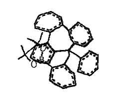 CC1(C)OB(c2ccccc2C2(c3ccccc3)c3ccccc3-c3ccccc3-c3ccccc32)OC1(C)C